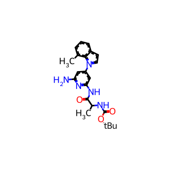 Cc1cccc2ccn(-c3cc(N)nc(NC(=O)C(C)NC(=O)OC(C)(C)C)c3)c12